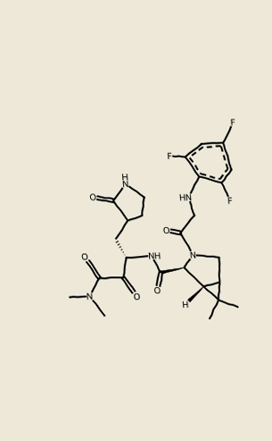 CN(C)C(=O)C(=O)[C@H](CC1CCNC1=O)NC(=O)[C@@H]1[C@@H]2C(CN1C(=O)CNc1c(F)cc(F)cc1F)C2(C)C